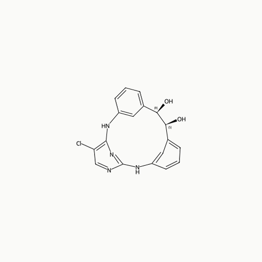 O[C@@H]1c2cccc(c2)Nc2nc(ncc2Cl)Nc2cccc(c2)[C@@H]1O